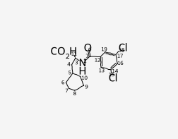 O=C(N[C@@H](CC1CCCCC1)C(=O)O)c1cc(Cl)cc(Cl)c1